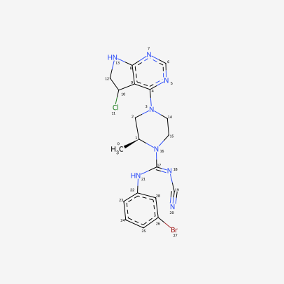 C[C@H]1CN(c2ncnc3c2C(Cl)CN3)CCN1/C(=N/C#N)Nc1cccc(Br)c1